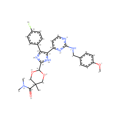 COc1ccc(CNc2nccc(-c3[nH]c(C4OCC(C)(C(=O)N(C)C)CO4)nc3-c3ccc(F)cc3)n2)cc1